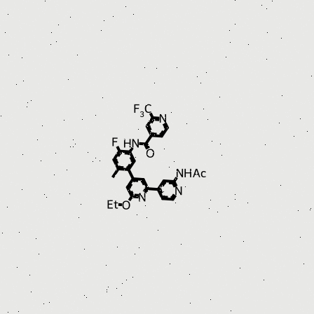 CCOc1cc(-c2cc(NC(=O)c3ccnc(C(F)(F)F)c3)c(F)cc2C)cc(-c2ccnc(NC(C)=O)c2)n1